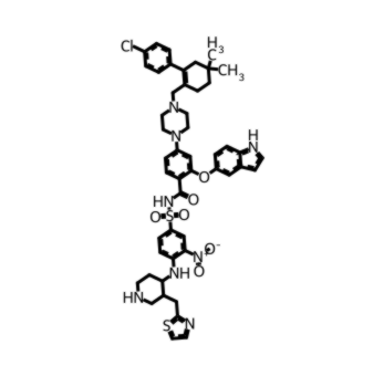 CC1(C)CCC(CN2CCN(c3ccc(C(=O)NS(=O)(=O)c4ccc(NC5CCNCC5Cc5nccs5)c([N+](=O)[O-])c4)c(Oc4ccc5[nH]ccc5c4)c3)CC2)=C(c2ccc(Cl)cc2)C1